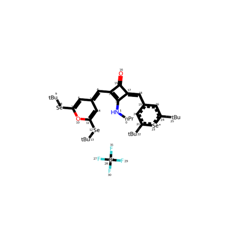 CCCNC1=C(C=C2C=C([Se]C(C)(C)C)OC([Se]C(C)(C)C)=C2)C(=O)C1=Cc1cc(C(C)(C)C)[se+]c(C(C)(C)C)c1.F[B-](F)(F)F